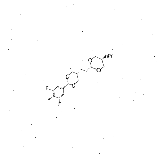 CCC[C@H]1CO[C@H](CC[C@H]2CO[C@H](c3cc(F)c(F)c(F)c3)OC2)OC1